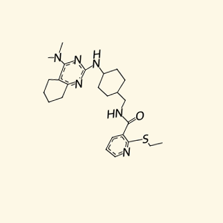 CCSc1ncccc1C(=O)NCC1CCC(Nc2nc3c(c(N(C)C)n2)CCCC3)CC1